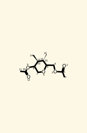 CC(=O)OCC1OCC(OC(C)=O)[C@@H](C)[C@@H]1C